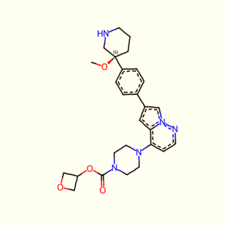 CO[C@]1(c2ccc(-c3cc4c(N5CCN(C(=O)OC6COC6)CC5)ccnn4c3)cc2)CCCNC1